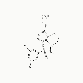 CN([C@@H]1CCCc2c(OCC(=O)O)cccc21)S(=O)(=O)c1cc(Cl)cc(Cl)c1